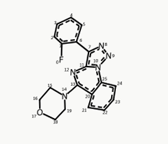 Fc1ccccc1-c1nnn2c1nc(N1CCOCC1)c1ccccc12